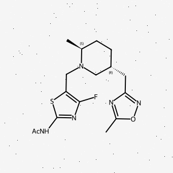 CC(=O)Nc1nc(F)c(CN2C[C@@H](Cc3noc(C)n3)CC[C@@H]2C)s1